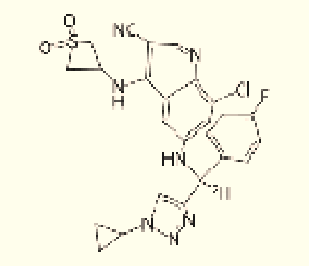 [2H]C(Nc1cc(Cl)c2ncc(C#N)c(NC3CS(=O)(=O)C3)c2c1)(c1ccc(F)cc1)c1cn(C2CC2)nn1